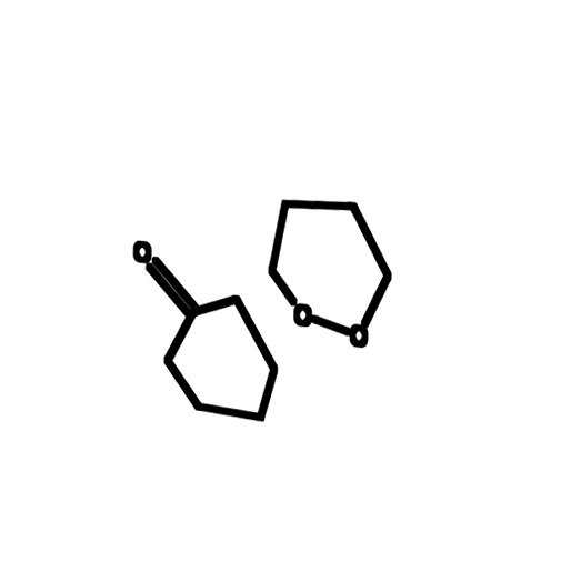 C1CCOOC1.O=C1CCCCC1